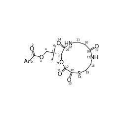 CC(=O)C(=O)OCC(C)(C)[C@H]1OC(=O)C(=O)SCCNC(=O)CCNC1=O